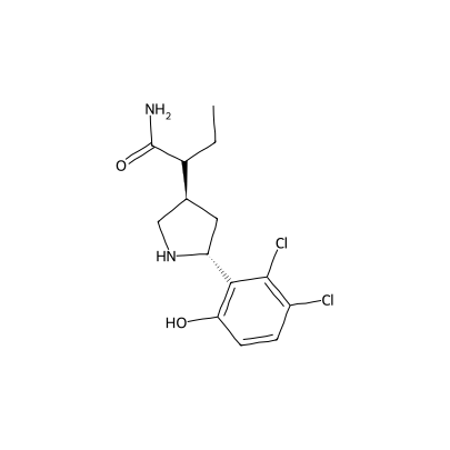 CCC(C(N)=O)[C@@H]1CN[C@@H](c2c(O)ccc(Cl)c2Cl)C1